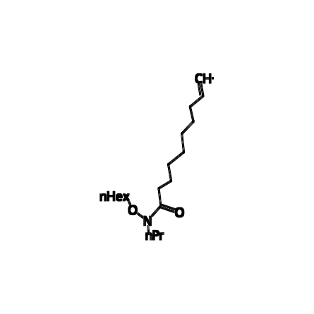 [CH]=CCCCCCCCC(=O)N(CCC)OCCCCCC